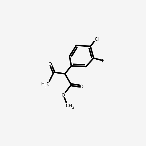 COC(=O)C(C(C)=O)c1ccc(Cl)c(F)c1